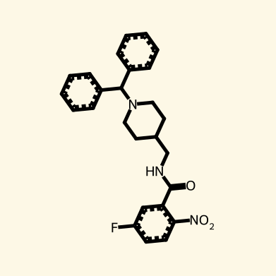 O=C(NCC1CCN(C(c2ccccc2)c2ccccc2)CC1)c1cc(F)ccc1[N+](=O)[O-]